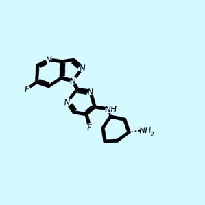 N[C@@H]1CCC[C@H](Nc2nc(-n3ncc4ncc(F)cc43)ncc2F)C1